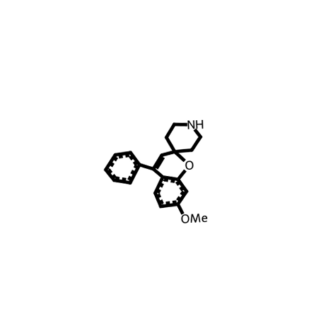 COc1ccc2c(c1)OC1(C=C2c2ccccc2)CCNCC1